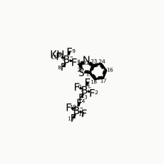 F[B-](F)(F)F.F[B-](F)(F)F.F[B-](F)(F)F.[KH].c1ccc2scnc2c1